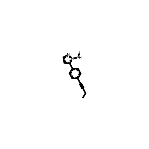 CCC#Cc1ccc(-c2ccnn2PI)cc1